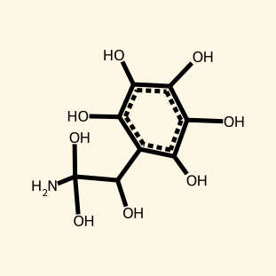 NC(O)(O)C(O)c1c(O)c(O)c(O)c(O)c1O